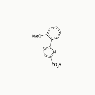 COc1ccccc1-c1nc(C(=O)O)cs1